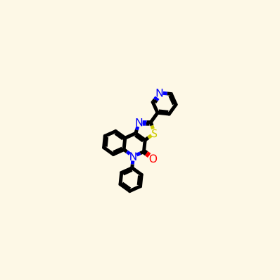 O=c1c2sc(-c3cccnc3)nc2c2ccccc2n1-c1ccccc1